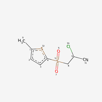 Cc1ccc(S(=O)(=O)CC(Cl)C#N)s1